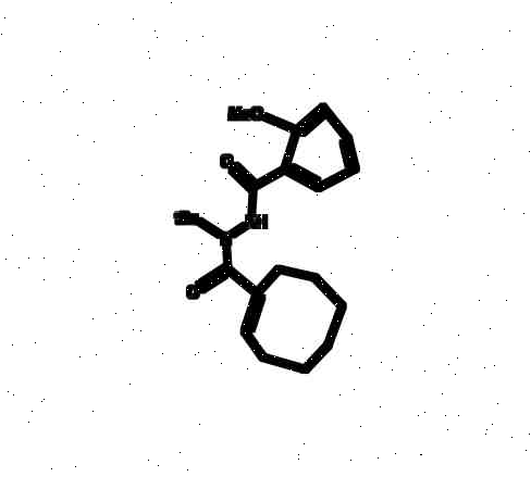 COc1ccccc1C(=O)NN(C(=O)C1=CCCCCCC1)C(C)(C)C